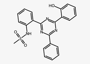 CS(=O)(=O)Nc1ccccc1-c1nc(-c2ccccc2)nc(-c2ccccc2O)n1